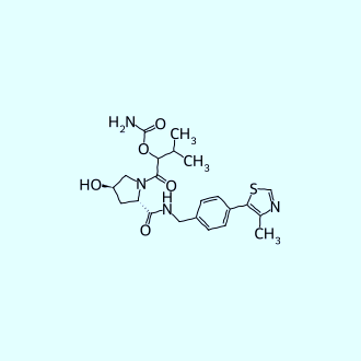 Cc1ncsc1-c1ccc(CNC(=O)[C@@H]2C[C@@H](O)CN2C(=O)C(OC(N)=O)C(C)C)cc1